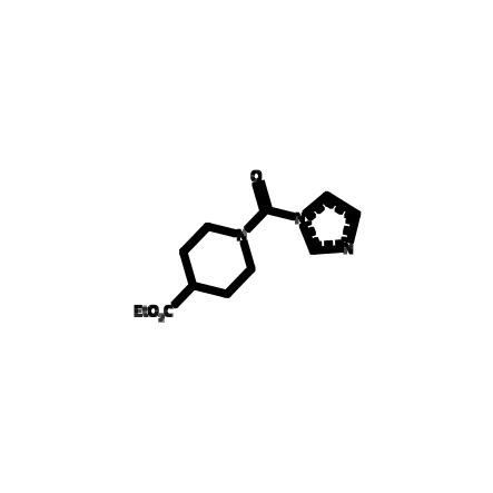 CCOC(=O)C1CCN(C(=O)n2ccnc2)CC1